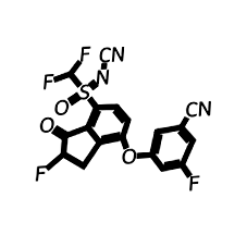 N#CN=S(=O)(c1ccc(Oc2cc(F)cc(C#N)c2)c2c1C(=O)C(F)C2)C(F)F